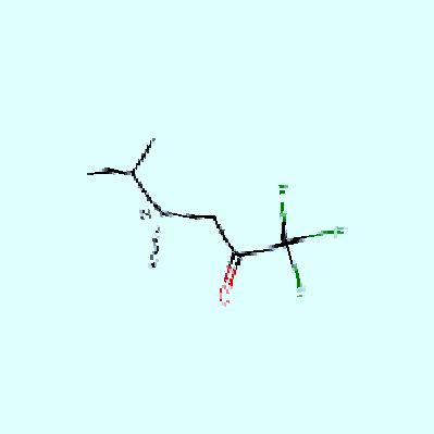 CC(C)[C@@H](C)CC(=O)C(F)(F)F